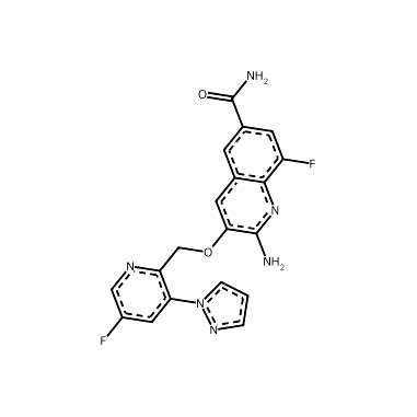 NC(=O)c1cc(F)c2nc(N)c(OCc3ncc(F)cc3-n3cccn3)cc2c1